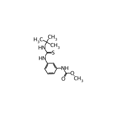 COC(=O)Nc1cccc(NC(=S)NC(C)(C)C)c1